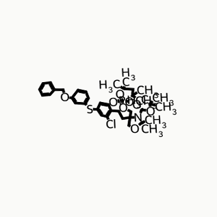 CC(C)(C)OC(=O)N1C(CCc2ccc(Sc3cccc(OCc4ccccc4)c3)cc2Cl)(COP2(=O)OC(C)(C)CC(C)(C)O2)COC1(C)C